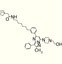 Cc1nn2c(N3CCN(CCO)CC3)cc(-c3cccc(CCCCCCCNC(=O)CC45CCC(C4)C5)c3)nc2c1-c1ccccc1